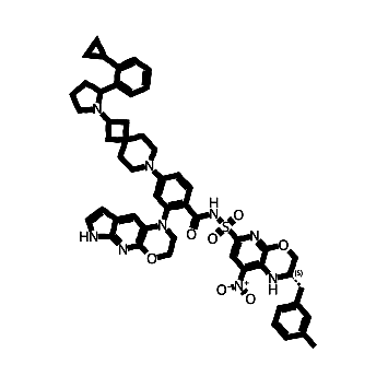 Cc1cccc(C[C@H]2COc3nc(S(=O)(=O)NC(=O)c4ccc(N5CCC6(CC5)CC(N5CCCC5c5ccccc5C5CC5)C6)cc4N4CCOc5nc6[nH]ccc6cc54)cc([N+](=O)[O-])c3N2)c1